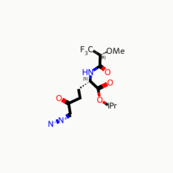 CO[C@H](C(=O)N[C@@H](CCC(=O)C=[N+]=[N-])C(=O)OC(C)C)C(F)(F)F